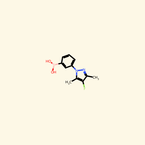 Cc1nn(-c2cccc(B(O)O)c2)c(C)c1F